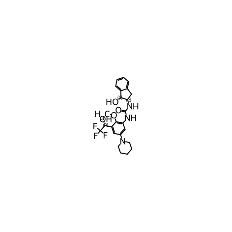 COc1c(NC(=O)N[C@@H]2Cc3ccccc3[C@@H]2O)cc(N2CCCCC2)cc1[C@@H](O)C(F)(F)F